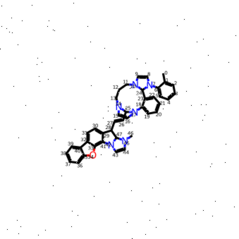 Cc1ccccc1N1C=CN2CCCN3C=CN(c4ccccc4C21)C3/C=C/C1c2ccc3c(oc4ccccc43)c2N2C=CN(C)C12